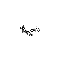 Cl.Cn1c(C(=O)N2CCNCC2)cc2ccc(Oc3ccc(NS(=O)(=O)c4ccc(Cl)c(Cl)c4)cn3)cc21